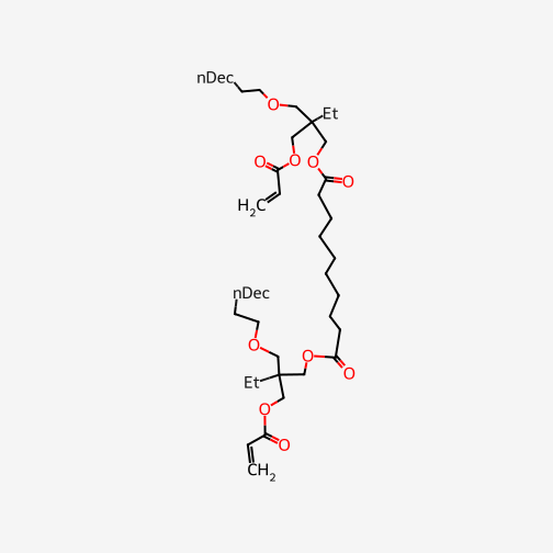 C=CC(=O)OCC(CC)(COCCCCCCCCCCCC)COC(=O)CCCCCCCCC(=O)OCC(CC)(COCCCCCCCCCCCC)COC(=O)C=C